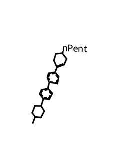 CCCCCC1CC=C(c2ccc(-c3ccc(C4CCC(C)CC4)cc3)cc2)CC1